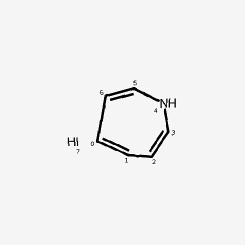 C1=CC=CNC=C1.I